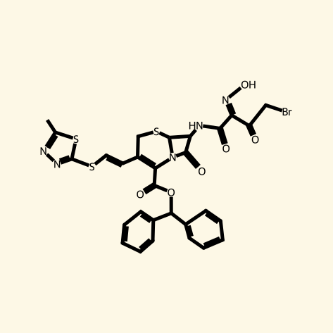 Cc1nnc(SC=CC2=C(C(=O)OC(c3ccccc3)c3ccccc3)N3C(=O)C(NC(=O)C(=NO)C(=O)CBr)C3SC2)s1